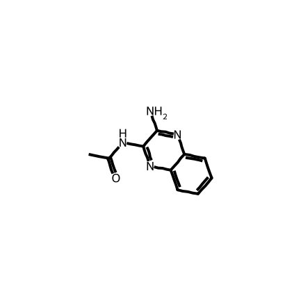 CC(=O)Nc1nc2ccccc2nc1N